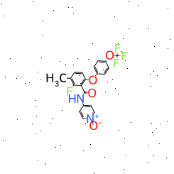 Cc1ccc(Oc2ccc(OC(F)(F)F)cc2)c(C(=O)Nc2cc[n+]([O-])cc2)c1F